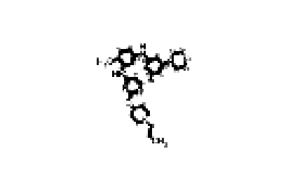 CCCN1CCC(Oc2nccc(Nc3cc(Nc4cc(F)cc(N5CCOCC5)c4)ccc3C)n2)CC1